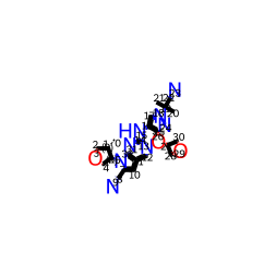 C[C@H]1COC[C@@H]1n1c(C#N)cc2cnc(Nc3cn(C(C)(C)C#N)nc3OC3COC3)nc21